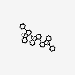 c1ccc(-c2ccc(-n3c4ccccc4c4c(-c5cccc6c5c5ccccc5n6-c5ccccc5)cccc43)c3c2oc2ccccc23)cc1